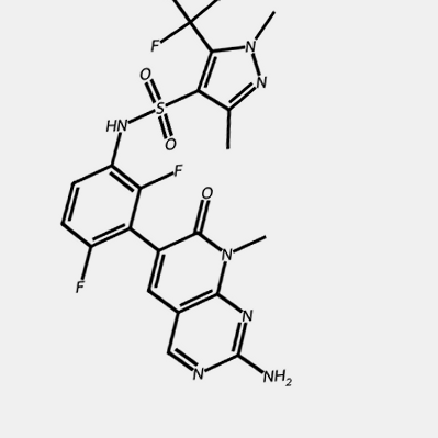 Cc1nn(C)c(C(F)(F)F)c1S(=O)(=O)Nc1ccc(F)c(-c2cc3cnc(N)nc3n(C)c2=O)c1F